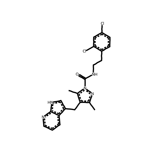 Cc1nn(C(=O)NCCc2ccc(Cl)cc2Cl)c(C)c1Cc1c[nH]c2ncccc12